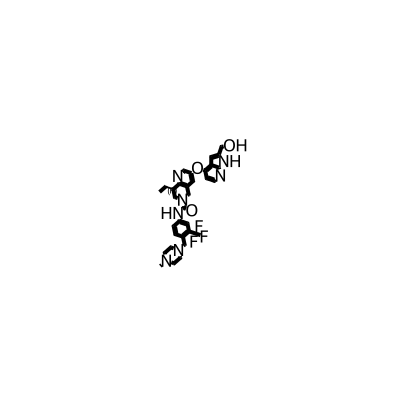 CC[C@@H]1CN(C(=O)Nc2ccc(CN3CCN(C)CC3)c(C(F)(F)F)c2)Cc2cc(Oc3ccnc4[nH]c(CO)cc34)cnc21